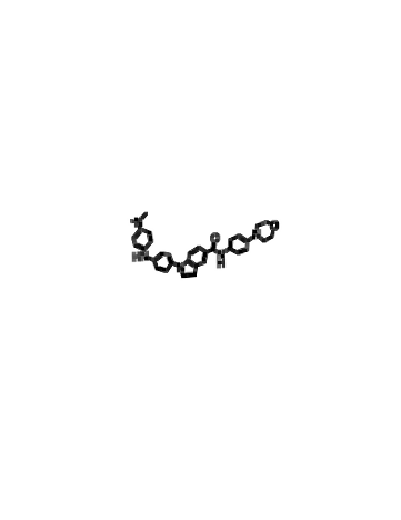 CN(C)c1ccc(Nc2ccc(-n3ccc4cc(C(=O)Nc5ccc(N6CCOCC6)cc5)ccc43)cc2)cc1